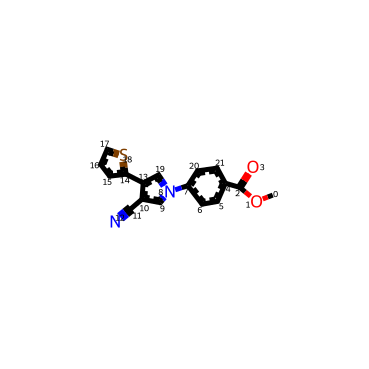 COC(=O)c1ccc(-n2cc(C#N)c(-c3cccs3)c2)cc1